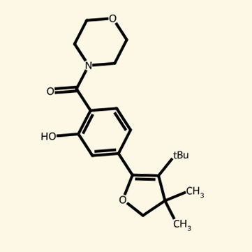 CC(C)(C)C1=C(c2ccc(C(=O)N3CCOCC3)c(O)c2)OCC1(C)C